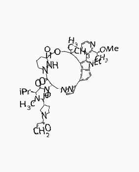 C=CC(=O)N1CC[C@H](C(=O)N(C)[C@H](C(=O)N[C@H]2Cn3ccc(n3)-c3ccc4c(c3)c(c(-c3cccnc3[C@H](C)OC)n4CC)CC(C)(C)COC(=O)[C@@H]3CCCN(N3)C2=O)C(C)C)C1